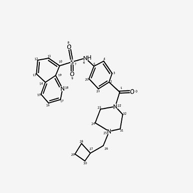 O=C(c1ccc(NS(=O)(=O)c2cccc3cccnc23)cc1)N1CCN(CC2CCC2)CC1